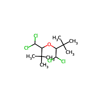 CC(C)(C)C(OC(C(Cl)Cl)C(C)(C)C)C(Cl)Cl